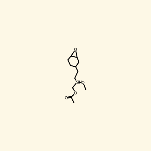 CO[SiH](CCC1CCC2OC2C1)COC(C)=O